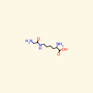 NCC(=O)NCCCC[C@@H](N)C(=O)O